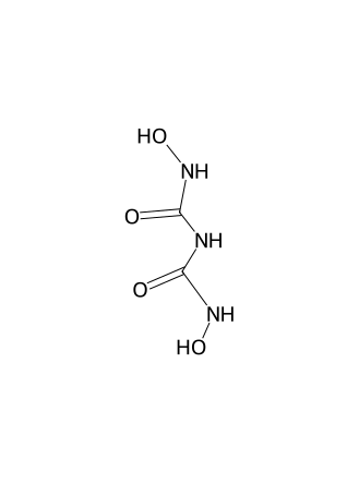 O=C(NO)NC(=O)NO